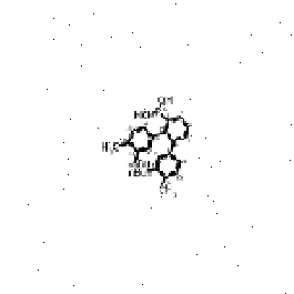 CCCCc1cc(-c2cccc(P(O)O)c2-c2ccc(C)c(CCCC)c2)ccc1C